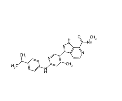 CNC(=O)c1nccc2c(-c3cnc(Nc4ccc(C(C)C)cc4)cc3C)c[nH]c12